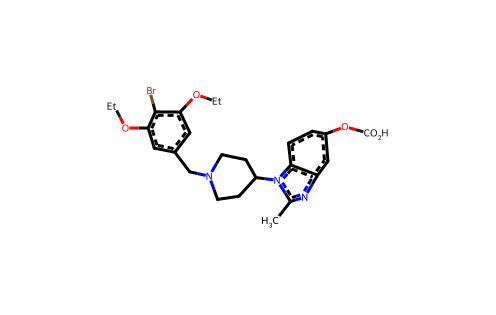 CCOc1cc(CN2CCC(n3c(C)nc4cc(OC(=O)O)ccc43)CC2)cc(OCC)c1Br